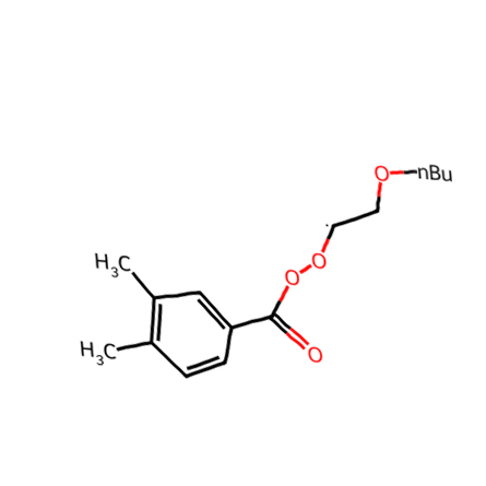 CCCCOC[CH]OOC(=O)c1ccc(C)c(C)c1